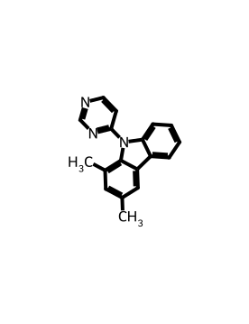 Cc1cc(C)c2c(c1)c1ccccc1n2-c1ccncn1